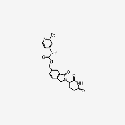 CCc1cc(NC(=O)OCc2ccc3c(c2)C(=O)N(C2CCC(=O)NC2=O)C3)ccn1